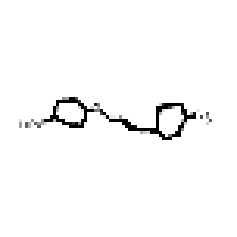 CCCC1CCC(OC/C=C/C2CCC(C)CC2)CC1